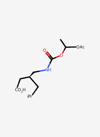 CC(=O)OC(C)OC(=O)NC[C@H](CC(=O)O)CC(C)C